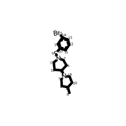 CC1CCN(C2CCN(Sc3cccc(Br)c3)CC2)CC1